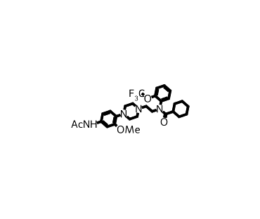 COc1cc(NC(C)=O)ccc1N1CCN(CCN(C(=O)C2CCCCC2)c2ccccc2OC(F)(F)F)CC1